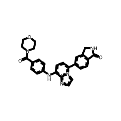 O=C1NCc2cc(-c3ccc(Nc4ccc(C(=O)N5CCOCC5)cc4)c4nccn34)ccc21